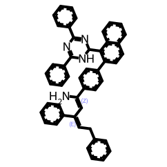 N/C(=C\C(=C/Cc1ccccc1)c1ccccc1)c1ccc(-c2ccc3ccccc3c2C2N=C(c3ccccc3)N=C(c3ccccc3)N2)cc1